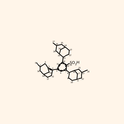 CC1CC2=C(c3cc(C4CCC5CC(C)CC4C5)c(S(=O)(=O)O)c(C4CCC5CC(C)CC4C5)c3)CCC(C2)C1